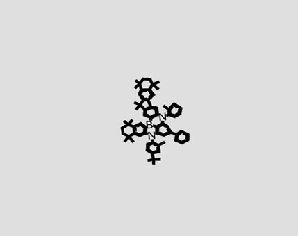 Cc1ccccc1N1c2cc3c(cc2B2c4cc5c(cc4N(c4ccc(C(C)(C)C)cc4C)c4cc(-c6ccccc6)cc1c42)C(C)(C)CCC5(C)C)C(C)(C)c1cc2c(cc1-3)C(C)(C)CCC2(C)C